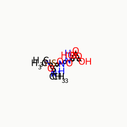 CCN(CC)c1ccc2c(-c3ccc(C(=O)NC4CCC(NC(=O)c5ccc(-c6c7ccc(=O)cc-7oc7cc(O)ccc67)c(C(=O)O)c5)CC4)cc3S)c3ccc(=[N+](CC)CC)cc-3oc2c1